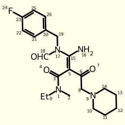 CCN(C)C(=O)/C(C(=O)CN1CCCCC1)=C(/N)N(C=O)Cc1ccc(F)cc1